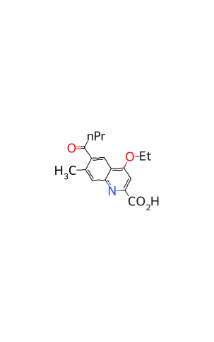 CCCC(=O)c1cc2c(OCC)cc(C(=O)O)nc2cc1C